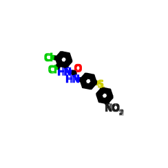 O=C(Nc1ccc(Sc2ccc([N+](=O)[O-])cc2)cc1)Nc1cccc(Cl)c1Cl